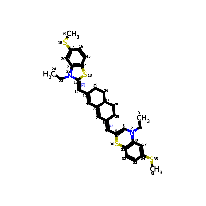 CCN1C=C(/C=C2/C=C3C=C(/C=C4\Sc5ccc(SC)cc5N4CC)CCC3CC2)Sc2ccc(SC)cc21